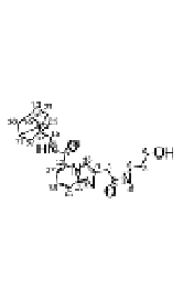 CN(CCCO)C(=O)Cc1cn2c(C(=O)NCC34CC5CC(CC(C5)C3)C4)cccc2n1